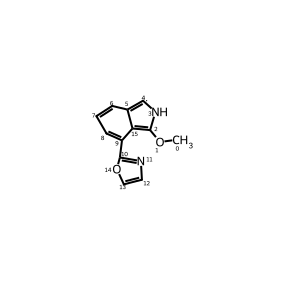 COc1[nH][c]c2cccc(-c3ncco3)c12